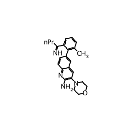 CCCC(=N)c1cccc(C)c1-c1ccc2nc(N)c(N3CCOCC3)cc2c1